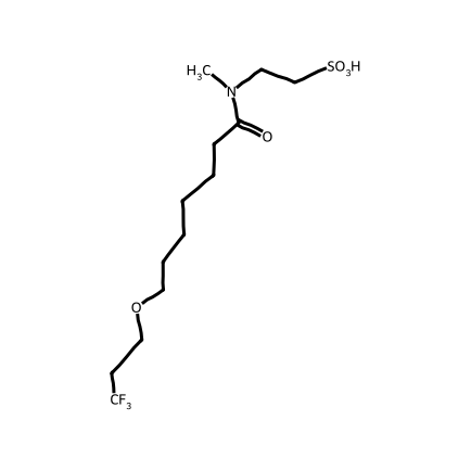 CN(CCS(=O)(=O)O)C(=O)CCCCCCOCCC(F)(F)F